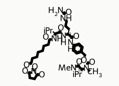 CNC(=O)[C@H](C(C)C)N(C)C(=O)OCc1ccc(NC(=O)[C@H](CCCNC(N)=O)NC(=O)[C@@H](NC(=O)CCCCCCC(=O)ON2C(=O)CCC2=O)C(C)C)cc1